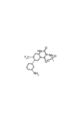 CS(=O)(=O)Nn1c(=O)[nH]c2cc(C(F)(F)F)c(-c3cccc(N)c3)cc2c1=O